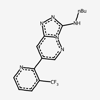 CCCCNc1nnc2cc(-c3ncccc3C(F)(F)F)cnn12